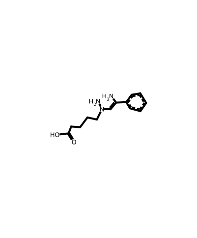 N/C(=C\N(N)CCCCC(=O)O)c1ccccc1